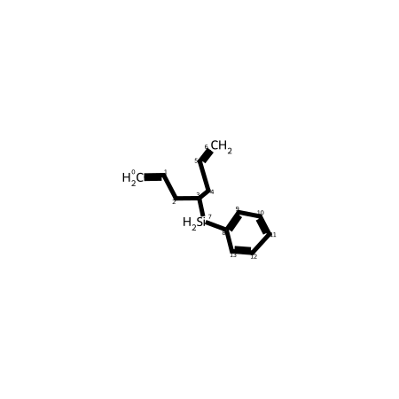 C=CCC(CC=C)[SiH2]c1ccccc1